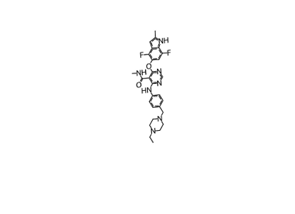 CCN1CCN(Cc2ccc(Nc3ncnc(Oc4cc(F)c5[nH]c(C)cc5c4F)c3C(=O)NC)cc2)CC1